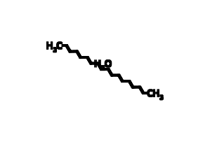 CCCCCCCCCCCCCCCCCC.O